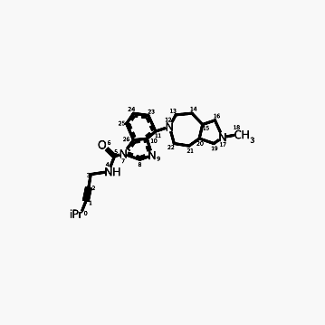 CC(C)C#CCNC(=O)n1cnc2c(N3CCC4CN(C)CC4CC3)cccc21